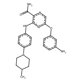 CN1CCN(c2ccc(Nc3nc(Oc4cccc(N)c4)cnc3C(N)=O)cc2)CC1